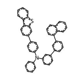 c1ccc(N(c2ccc(-c3ccc4c(c3)sc3ccccc34)cc2)c2cccc(-c3cccc(-c4cccc5ccccc45)c3)c2)cc1